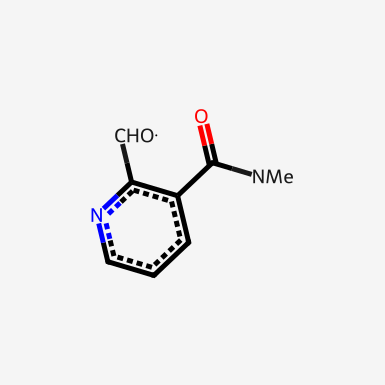 CNC(=O)c1cccnc1[C]=O